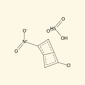 O=[N+]([O-])c1cc2c(Cl)cc1-2.O=[SH](=O)O